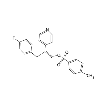 Cc1ccc(S(=O)(=O)ON=C(Cc2ccc(F)cc2)c2ccncc2)cc1